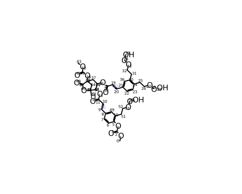 COC(=O)Oc1ccc(/C=C/C(=O)O[C@@H]2[C@H](OC(=O)/C=C/c3ccc(CCOOO)c(CCOOO)c3)C[C@]3(OC(=O)OC)C[C@H]2OC3=O)cc1CCOOO